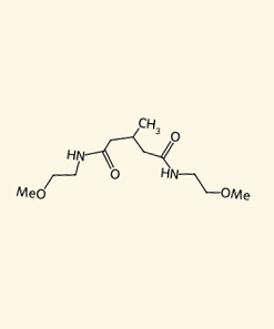 COCCNC(=O)CC(C)CC(=O)NCCOC